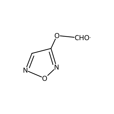 O=[C]Oc1cnon1